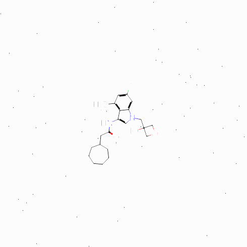 Bc1cc(Cl)cc2c1c(NC(=O)CC1CCCCCC1)cn2CC1(O)COC1